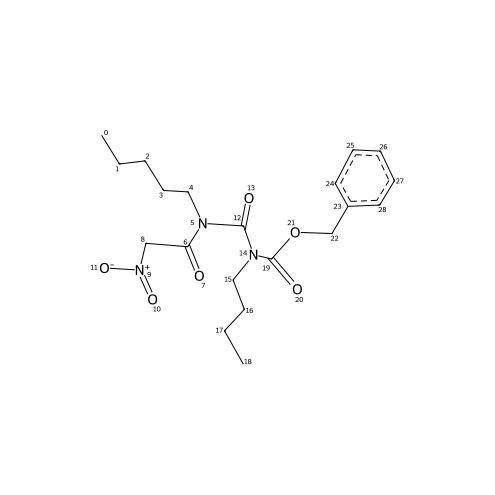 CCCCCN(C(=O)C[N+](=O)[O-])C(=O)N(CCCC)C(=O)OCc1ccccc1